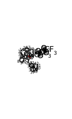 C(=C\c1cc2[n+](c3ccccc13)CCCc1ccc3c(c1-2)-c1cccc[n+]1CCC3)/c1cc2c3c(c1)CCCN3CCC2.O=S(=O)([O-])C(F)(F)F.O=S(=O)([O-])C(F)(F)F